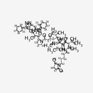 CC[C@H](C)[C@@H]([C@@H](CC(=O)N1CCC[C@H]1[C@H](OC)[C@@H](C)C(=O)N[C@@H](Cc1ccccc1)c1nnc(-c2ccccc2)o1)OC)N(C)[C@H](C(=O)NC(=O)[C@H](C(C)C)N(C)CCCCCCN1C(=O)C=CC1=O)C(C)C